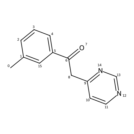 Cc1cccc(C(=O)Cc2ccncn2)c1